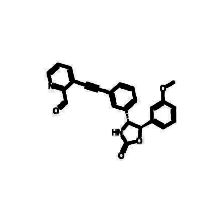 COc1cccc([C@H]2OC(=O)N[C@@H]2c2cccc(C#Cc3cccnc3C=O)c2)c1